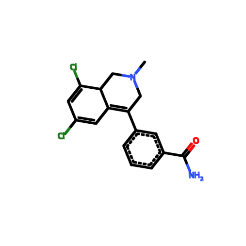 CN1CC(c2cccc(C(N)=O)c2)=C2C=C(Cl)C=C(Cl)C2C1